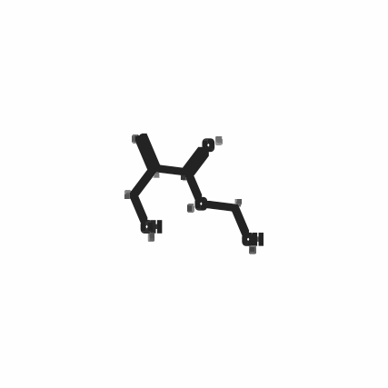 C=C(CO)C(=O)OCO